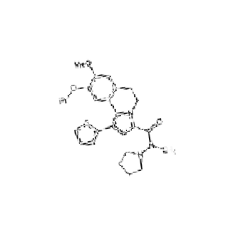 COc1cc2c(cc1OC(C)C)-c1c(-c3cccs3)cc(C(=O)N(C)N3CCCC3)n1CC2